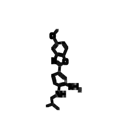 COc1ccc2oc(-c3ccc(NCC(C)C)c(N)c3)nc2c1